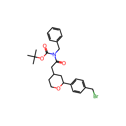 CC(C)(C)OC(=O)N(Cc1ccccc1)C(=O)CC1CCOC(c2ccc(CBr)cc2)C1